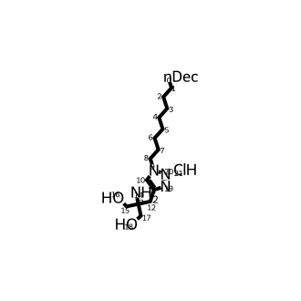 CCCCCCCCCCCCCCCCCCn1cc(CC(N)(CO)CO)nn1.Cl